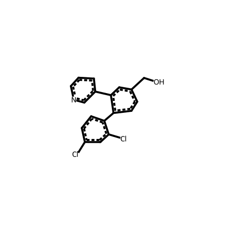 OCc1ccc(-c2ccc(Cl)cc2Cl)c(-c2cccnc2)c1